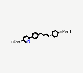 CCCCCCCCCCc1ccc(-c2ccc(CCC=C[C@H]3CC[C@H](CCCCC)CC3)cc2)nc1